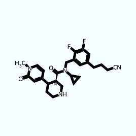 Cn1ccc(C2CCNC[C@@H]2C(=O)N(Cc2cc(CCCC#N)cc(F)c2F)C2CC2)cc1=O